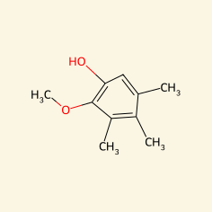 COc1c(O)cc(C)c(C)c1C